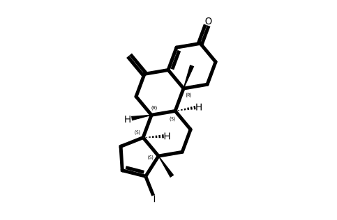 C=C1C[C@@H]2[C@H](CC[C@]3(C)C(I)=CC[C@@H]23)[C@@]2(C)CCC(=O)C=C12